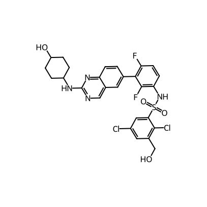 O=S(=O)(Nc1ccc(F)c(-c2ccc3nc(NC4CCC(O)CC4)ncc3c2)c1F)c1cc(Cl)cc(CO)c1Cl